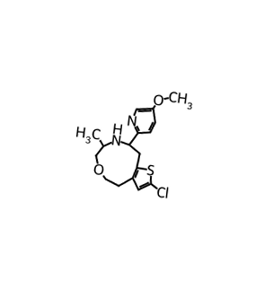 COc1ccc(C2Cc3sc(Cl)cc3CCOCC(C)N2)nc1